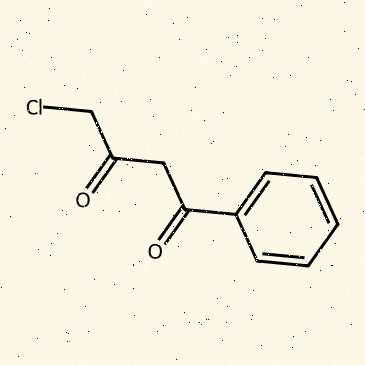 O=C(CCl)CC(=O)c1ccccc1